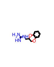 N=C(N)NCC1COc2ccccc2O1